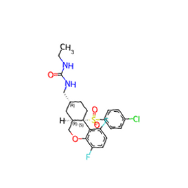 CCNC(=O)NC[C@@H]1CC[C@@]2(S(=O)(=O)c3ccc(Cl)cc3)c3c(F)ccc(F)c3OC[C@H]2C1